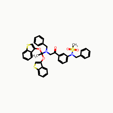 CC(Oc1csc2ccccc12)(Oc1csc2ccccc12)N(CC(=O)c1cccc(N(Cc2ccccc2)S(C)(=O)=O)c1)Cc1ccccc1